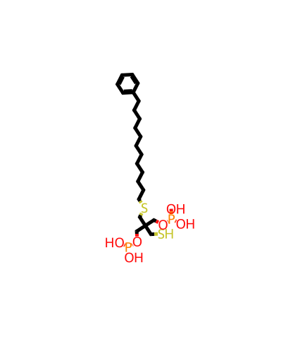 OP(O)OCC(CS)(COP(O)O)CSCCCCCCCCCCCCc1ccccc1